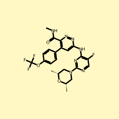 CNC(=O)c1nnc(Nc2nc(N3C[C@@H](C)O[C@@H](C)C3)ncc2F)cc1-c1ccc(OC(F)(F)F)cc1